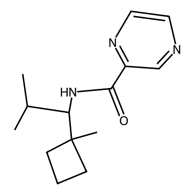 CC(C)C(NC(=O)c1cnccn1)C1(C)CCC1